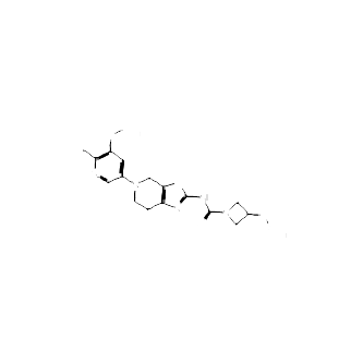 COc1cc(N2CCc3nc(NC(=O)N4CC(OC)C4)sc3C2)cnc1Cl